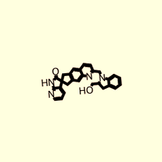 O=C1Nc2ncccc2C12Cc1cc3ccc(CN4c5ccccc5CC4CO)nc3cc1C2